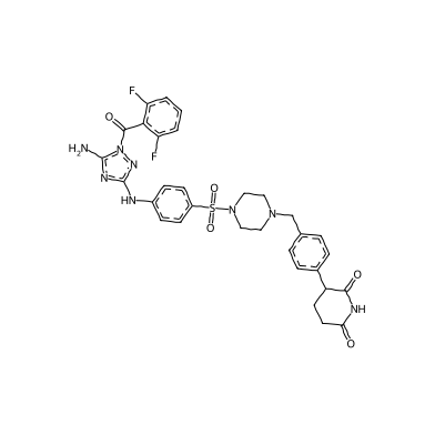 Nc1nc(Nc2ccc(S(=O)(=O)N3CCN(Cc4ccc(C5CCC(=O)NC5=O)cc4)CC3)cc2)nn1C(=O)c1c(F)cccc1F